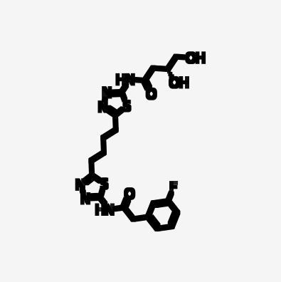 O=C(Cc1cccc(F)c1)Nc1nnc(CCCCc2nnc(NC(=O)C[C@@H](O)CO)s2)s1